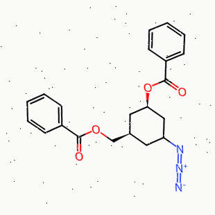 [N-]=[N+]=NC1C[C@@H](COC(=O)c2ccccc2)C[C@@H](OC(=O)c2ccccc2)C1